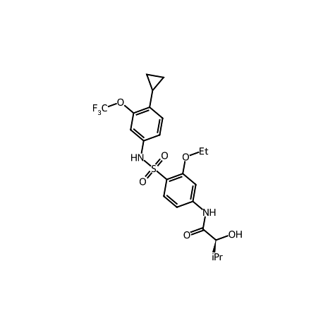 CCOc1cc(NC(=O)[C@@H](O)C(C)C)ccc1S(=O)(=O)Nc1ccc(C2CC2)c(OC(F)(F)F)c1